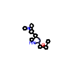 C1=Cc2c(n(-c3ccccc3)c3ccc(-c4ccc5c(c4)-c4ccccc4N/C=C/C(c4cccc6c4oc4c(-c7ccccc7)cccc46)=C\C=C/5)cc23)CC1